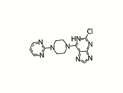 Clc1nc2ncnc-2c(N2CCN(c3ncccn3)CC2)[nH]1